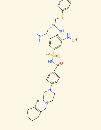 CN(C)CC[C@H](CSc1ccccc1)Nc1ccc(S(=O)(=O)NC(=O)c2ccc(N3CCN(CC4=C(Br)CCCC4)CC3)cc2)cc1NO